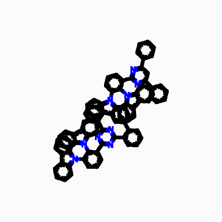 c1ccc(-c2cc(-c3ccccc3)nc(-c3cccc(-n4c5ccccc5c5cc(-c6ccccc6-c6nc(-c7ccccc7)nc(-c7cccc(-n8c9ccccc9c9ccccc98)c7-n7c8ccccc8c8ccccc87)n6)ccc54)c3-n3c4ccccc4c4ccccc43)n2)cc1